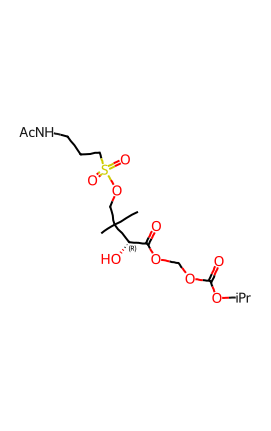 CC(=O)NCCCS(=O)(=O)OCC(C)(C)[C@@H](O)C(=O)OCOC(=O)OC(C)C